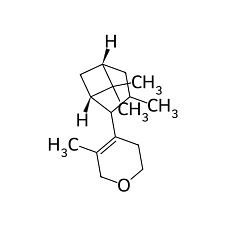 CC1=C(C2C(C)C[C@H]3C[C@@H]2C3(C)C)CCOC1